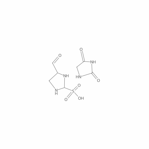 O=C1CNC(=O)N1.O=CC1CNC(S(=O)(=O)O)N1